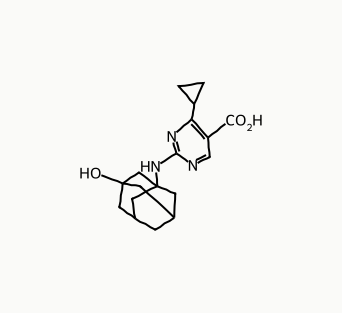 O=C(O)c1cnc(NC23CC4CC(CC(O)(C4)C2)C3)nc1C1CC1